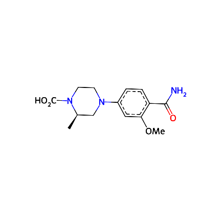 COc1cc(N2CCN(C(=O)O)[C@H](C)C2)ccc1C(N)=O